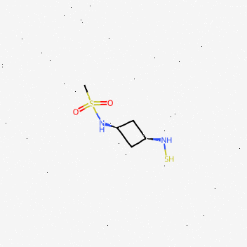 CS(=O)(=O)N[C@H]1C[C@@H](NS)C1